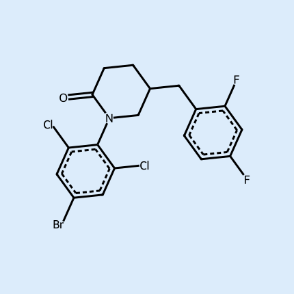 O=C1CCC(Cc2ccc(F)cc2F)CN1c1c(Cl)cc(Br)cc1Cl